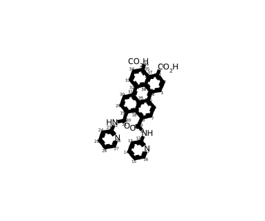 O=C(O)c1ccc2c3ccc(C(=O)Nc4ccccn4)c4c(C(=O)Nc5ccccn5)ccc(c5ccc(C(=O)O)c1c25)c43